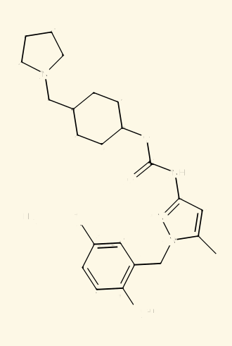 Cc1cc(NC(=O)OC2CCC(CN3CCCC3)CC2)nn1Cc1cc(Cl)ccc1OCC(C)C.Cl